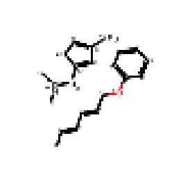 CC=CC=CCOc1ccccc1.C[SiH](C)[Ti][C]1=CC(C(C)(C)C)=CC1